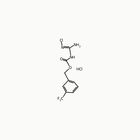 Cl.NC(=NCl)NC(=O)OCc1cccc(C(F)(F)F)c1